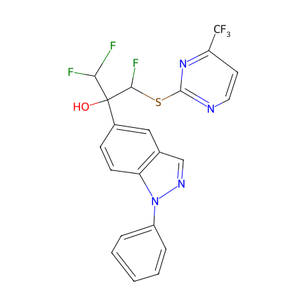 OC(c1ccc2c(cnn2-c2ccccc2)c1)(C(F)F)C(F)Sc1nccc(C(F)(F)F)n1